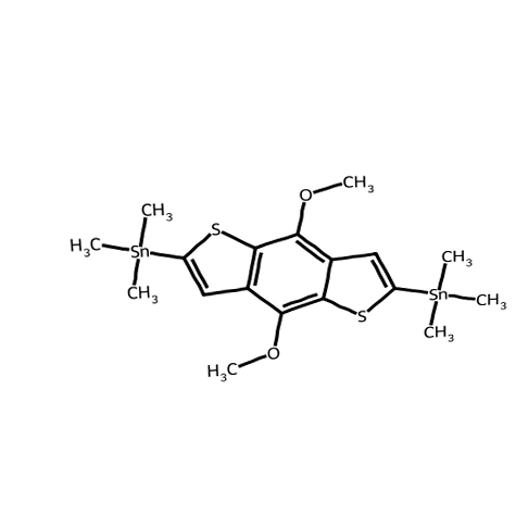 COc1c2c[c]([Sn]([CH3])([CH3])[CH3])sc2c(OC)c2c[c]([Sn]([CH3])([CH3])[CH3])sc12